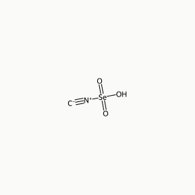 [C-]#[N+][Se](=O)(=O)O